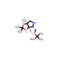 COC(C)(C)OC[C@H]1NC[C@]2(C)OC(C)(C)O[C@H]12